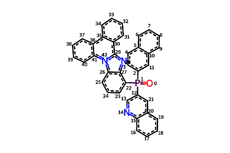 O=P(c1ccc2ccccc2c1)(c1cnc2ccccc2c1)c1cccc2c1nc1c3ccccc3c3ccccc3n21